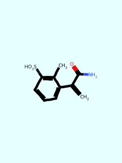 C=C(C(N)=O)c1cccc(S(=O)(=O)O)c1C